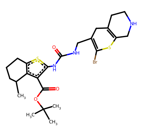 CC1CCCc2sc(NC(=O)NCC3=C(Br)SC4=C(CCNC4)C3)c(C(=O)OC(C)(C)C)c21